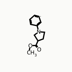 COC(=O)C1CCN(c2c[c]ccc2)C1